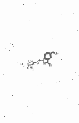 C[Si](C)(C)CCOCn1nc(Br)c2cc(CBr)ccc21